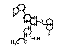 C=CC(=O)N1CCN(c2nc(OCC34CCCN3C[C@H](F)C4)nc3cc(-c4cccc5c4C4CC4C5)cnc23)C[C@@H]1CC#N